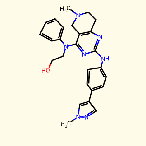 CN1CCc2nc(Nc3ccc(-c4cnn(C)c4)cc3)nc(N(CCO)c3ccccc3)c2C1